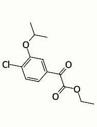 CCOC(=O)C(=O)c1ccc(Cl)c(OC(C)C)c1